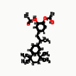 CCC(=O)Oc1ccc(/C=C(\C)c2ccc3c(c2)C(C)(C)CCC3(C)C)cc1OC(=O)CC